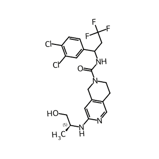 C[C@@H](CO)Nc1cc2c(cn1)CCN(C(=O)NC(CC(F)(F)F)c1ccc(Cl)c(Cl)c1)C2